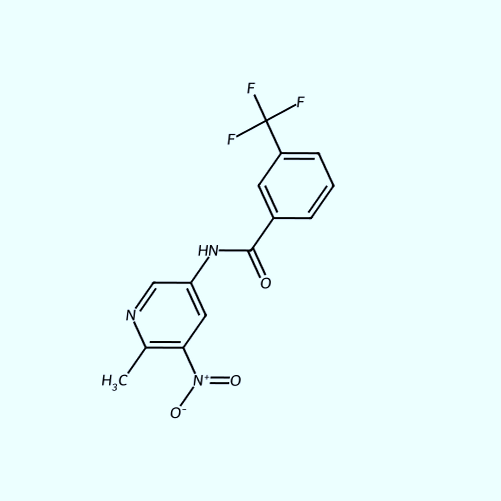 Cc1ncc(NC(=O)c2cccc(C(F)(F)F)c2)cc1[N+](=O)[O-]